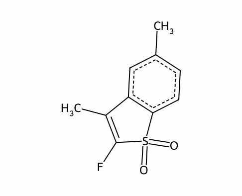 CC1=C(F)S(=O)(=O)c2ccc(C)cc21